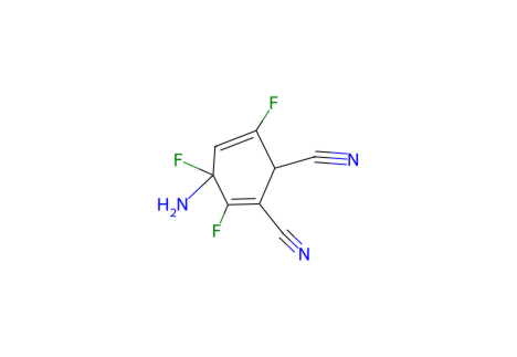 N#CC1=C(F)C(N)(F)C=C(F)C1C#N